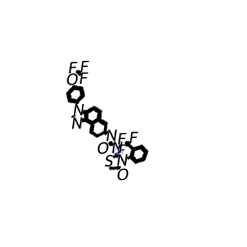 O=C(N=C1C=c2ccc3c(ncn3-c3ccc(OC(F)(F)F)cc3)c2=CC1)/N=C1\SCC(=O)N1c1ccccc1C(F)(F)F